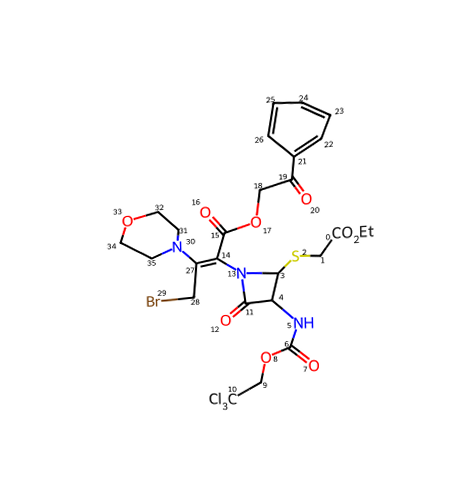 CCOC(=O)CSC1C(NC(=O)OCC(Cl)(Cl)Cl)C(=O)N1C(C(=O)OCC(=O)c1ccccc1)=C(CBr)N1CCOCC1